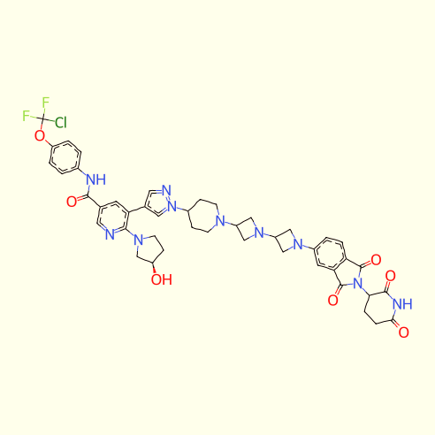 O=C1CCC(N2C(=O)c3ccc(N4CC(N5CC(N6CCC(n7cc(-c8cc(C(=O)Nc9ccc(OC(F)(F)Cl)cc9)cnc8N8CC[C@@H](O)C8)cn7)CC6)C5)C4)cc3C2=O)C(=O)N1